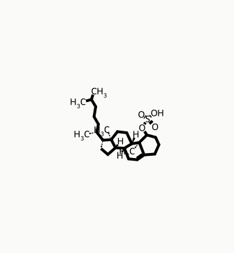 CC(C)CCC[C@@H](C)[C@H]1CC[C@H]2[C@@H]3CC=C4CCCC(OS(=O)(=O)O)[C@]4(C)[C@H]3CC[C@]12C